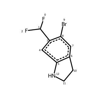 FC(F)c1cc2c(cc1Br)CCN2